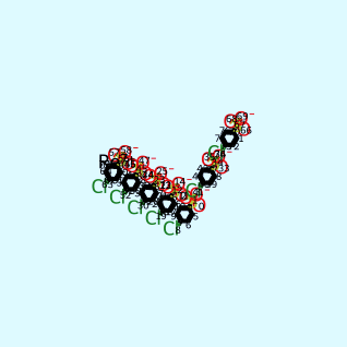 O=S(=O)([O-])c1ccc(Cl)cc1.O=S(=O)([O-])c1ccc(Cl)cc1.O=S(=O)([O-])c1ccc(Cl)cc1.O=S(=O)([O-])c1ccc(Cl)cc1.O=S(=O)([O-])c1ccc(Cl)cc1.O=S(=O)([O-])c1ccc(Cl)cc1.O=S(=O)([O-])c1ccc(Cl)cc1.[Re+7]